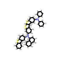 c1ccc(N(c2ccccc2)c2ccc3sc4sc5cc(N(c6ccc7sc8ccccc8c7c6)c6cccc7ccccc67)ccc5c4c3c2)cc1